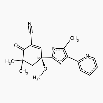 CO[C@]1(c2nc(C)c(-c3ccccn3)s2)C=C(C#N)C(=O)C(C)(C)C1